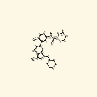 N#Cc1cn(CC2CCOCC2)c2cc(-c3cc(NC(=O)[C@@H]4CCCNC4)ncc3Cl)cnc12